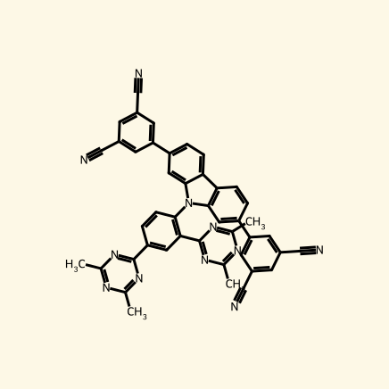 Cc1nc(C)nc(-c2ccc(-n3c4cc(-c5cc(C#N)cc(C#N)c5)ccc4c4ccc(-c5cc(C#N)cc(C#N)c5)cc43)c(-c3nc(C)nc(C)n3)c2)n1